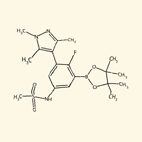 Cc1nn(C)c(C)c1-c1cc(NS(C)(=O)=O)cc(B2OC(C)(C)C(C)(C)O2)c1F